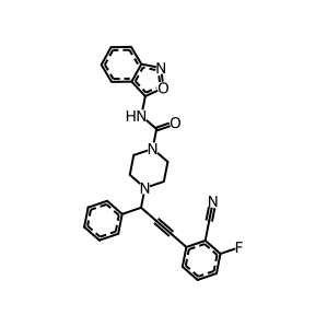 N#Cc1c(F)cccc1C#CC(c1ccccc1)N1CCN(C(=O)Nc2onc3ccccc23)CC1